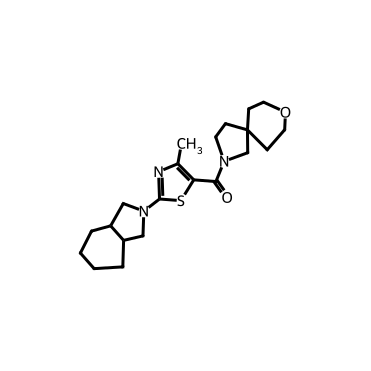 Cc1nc(N2CC3CCCCC3C2)sc1C(=O)N1CCC2(CCOCC2)C1